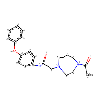 CC(C)COC(=O)N1CCCN(CC(=O)Nc2ccc(Oc3ccccc3)cc2)CC1